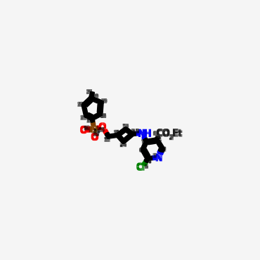 CCOC(=O)c1cnc(Cl)cc1NC1CC(COS(=O)(=O)c2ccc(C)cc2)C1